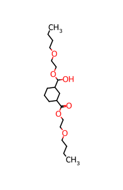 CCCCOCCOC(=O)C1CCCC(C(O)OCCOCCCC)C1